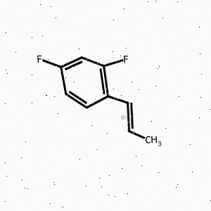 C/C=C/c1ccc(F)cc1F